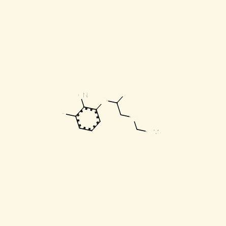 CCC(COCOC)Oc1cccc(F)c1C#N